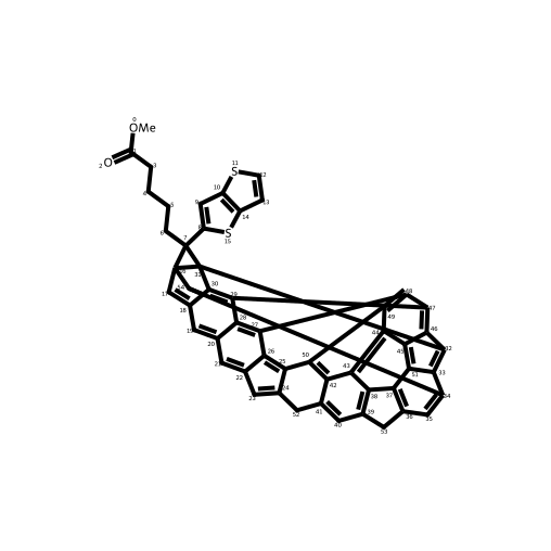 COC(=O)CCCCC1(c2cc3sccc3s2)C23C=c4cc5cc6cc7c8c6c6c5c5c4C21c1c2c(cc4c9c%10c(cc(c%11c%10c%10c(c1c5c6c%10c8%11)c29)C7)C4)C3